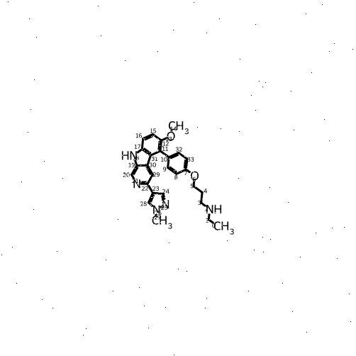 CCNCCCOc1ccc(-c2c(OC)ccc3[nH]c4cnc(-c5cnn(C)c5)cc4c23)cc1